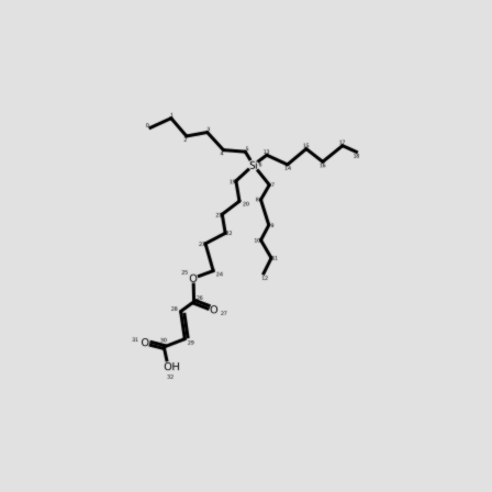 CCCCCC[Si](CCCCCC)(CCCCCC)CCCCCCOC(=O)C=CC(=O)O